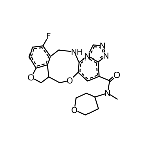 CN(C(=O)c1cc2c(n3cnnc13)NCc1c(F)ccc3c1C(CO3)CO2)C1CCOCC1